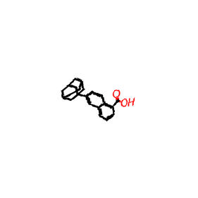 O=C(O)c1cccc2cc(C34CC5CC(CC(C5)C3)C4)ccc12